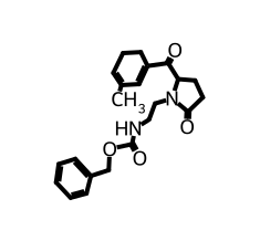 CC1=CCCC(C(=O)C2CCC(=O)N2CCNC(=O)OCc2ccccc2)=C1